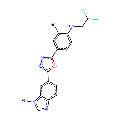 CCn1cnc2ccc(-c3nnc(-c4ccc(NCC(F)F)c(C#N)c4)o3)cc21